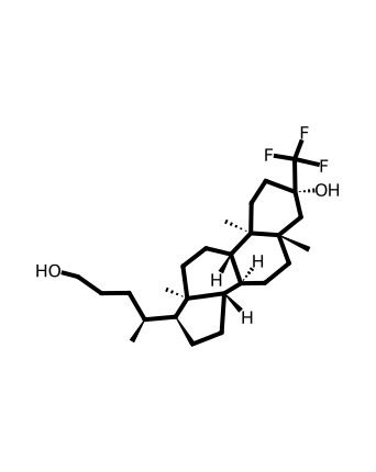 C[C@@H](CCCO)[C@@H]1CC[C@H]2[C@@H]3CC[C@@]4(C)C[C@](O)(C(F)(F)F)CC[C@]4(C)[C@H]3CC[C@@]21C